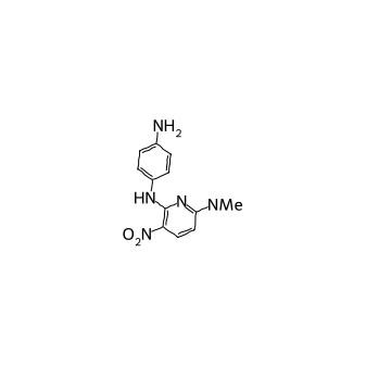 CNc1ccc([N+](=O)[O-])c(Nc2ccc(N)cc2)n1